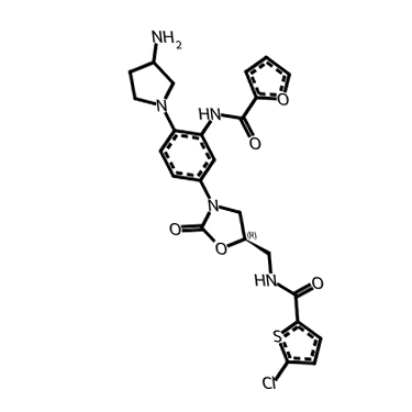 NC1CCN(c2ccc(N3C[C@@H](CNC(=O)c4ccc(Cl)s4)OC3=O)cc2NC(=O)c2ccco2)C1